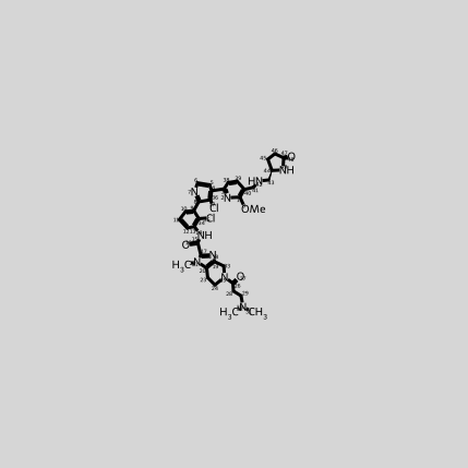 COc1nc(-c2ccnc(-c3cccc(NC(=O)c4nc5c(n4C)CCN(C(=O)CCN(C)C)C5)c3Cl)c2Cl)ccc1CNC[C@H]1CCC(=O)N1